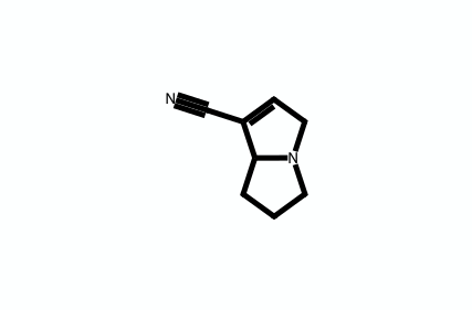 N#CC1=CCN2CCCC12